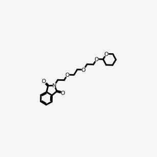 O=C1c2ccccc2C(=O)N1CCOCCOCCOC1CCCCO1